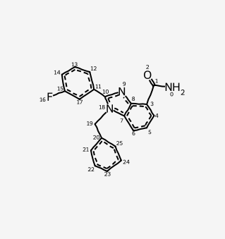 NC(=O)c1cccc2c1nc(-c1cccc(F)c1)n2Cc1ccccc1